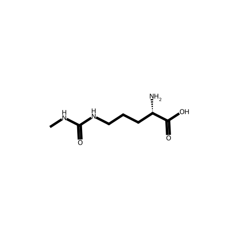 CNC(=O)NCCC[C@H](N)C(=O)O